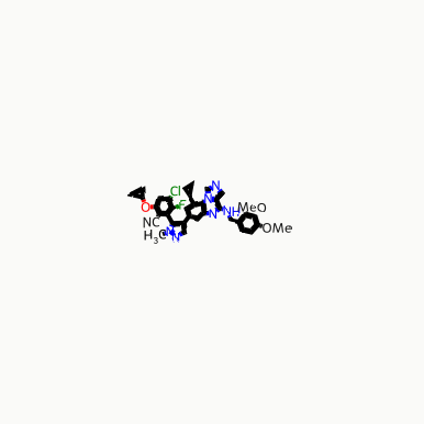 COc1ccc(CNc2nc3cc(-c4cnn(C)c4-c4c(F)c(Cl)cc(OC5CC5)c4C#N)cc(C4CC4)c3n3cncc23)c(OC)c1